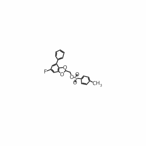 Cc1ccc(S(=O)(=O)OCC2Oc3cc(F)cc(-c4ccccc4)c3O2)cc1